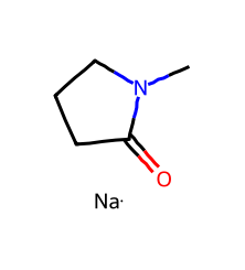 CN1CCCC1=O.[Na]